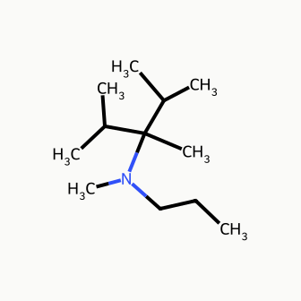 CCCN(C)C(C)(C(C)C)C(C)C